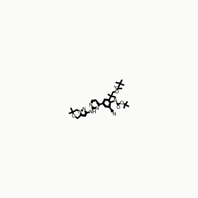 CC(C)(C)OC(=O)N1CC(C)(CO[Si](C)(C)C(C)(C)C)c2cc(-c3ccnc(Nc4cc5n(n4)CC(C)(C)OC5)n3)cc(C#N)c21